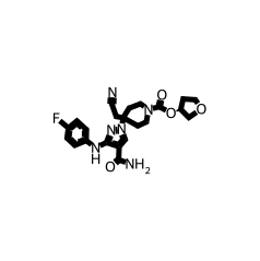 N#CCC1(n2cc(C(N)=O)c(Nc3ccc(F)cc3)n2)CCN(C(=O)O[C@@H]2CCOC2)CC1